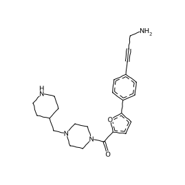 NCC#Cc1ccc(-c2ccc(C(=O)N3CCN(CC4CCNCC4)CC3)o2)cc1